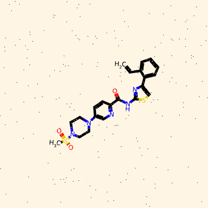 C=Cc1ccccc1-c1csc(NC(=O)c2ccc(N3CCN(S(C)(=O)=O)CC3)cn2)n1